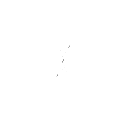 C=CC[Si](Cl)(CC=CC[Si](Cl)(CC=C)OCC)OCC